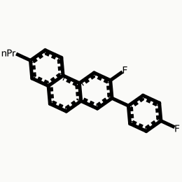 CCCc1ccc2c(ccc3cc(-c4ccc(F)cc4)c(F)cc32)c1